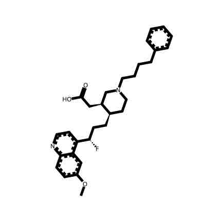 COc1ccc2nccc([C@@H](F)CC[C@@H]3CCN(CCCCc4ccccc4)C[C@@H]3CC(=O)O)c2c1